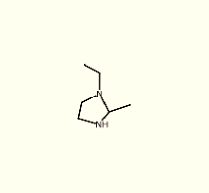 CCN1CCNC1C